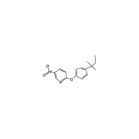 CCC(C)(C)c1ccc(Oc2ccc([N+](=O)[O-])cn2)cc1